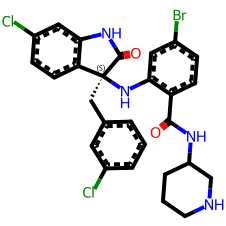 O=C(NC1CCCNC1)c1ccc(Br)cc1N[C@]1(Cc2cccc(Cl)c2)C(=O)Nc2cc(Cl)ccc21